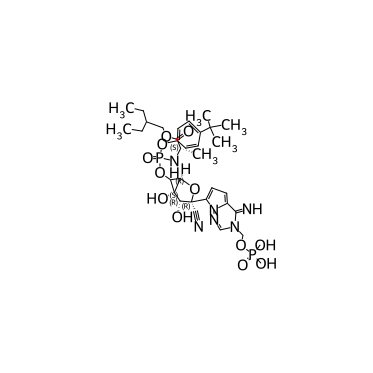 CCC(CC)COC(=O)[C@H](C)NP(=O)(Oc1ccc(C(C)(C)C)cc1)OC1[C@H]2O[C@@](C#N)(c3ccc4c(=N)n(COP(=O)(O)O)cnn34)[C@H](O)[C@@]12O